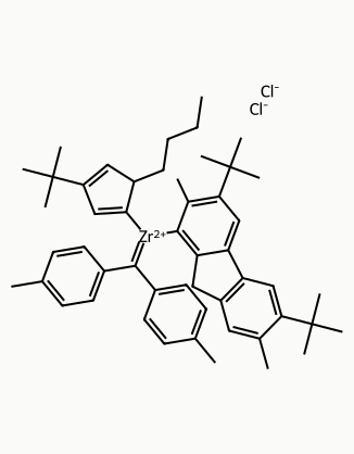 CCCCC1C=C(C(C)(C)C)C=[C]1[Zr+2](=[C](c1ccc(C)cc1)c1ccc(C)cc1)[c]1c(C)c(C(C)(C)C)cc2c1Cc1cc(C)c(C(C)(C)C)cc1-2.[Cl-].[Cl-]